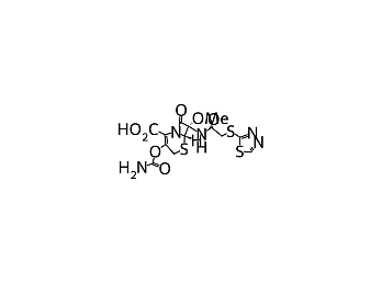 CO[C@@]1(NC(=O)CSc2nncs2)C(=O)N2C(C(=O)O)=C(OC(N)=O)CS[C@H]21